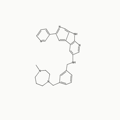 CN1CCCN(Cc2cccc(CNc3cnc4[nH]c5cnc(-c6cccnc6)cc5c4c3)c2)CC1